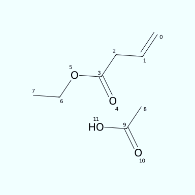 C=CCC(=O)OCC.CC(=O)O